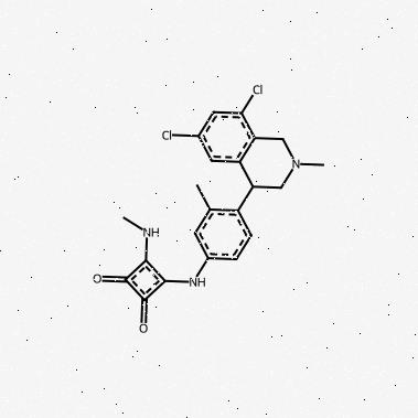 CNc1c(Nc2ccc(C3CN(C)Cc4c(Cl)cc(Cl)cc43)c(C)c2)c(=O)c1=O